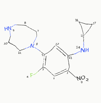 O=[N+]([O-])c1cc(F)c(N2CCNCC2)cc1NC1CC1